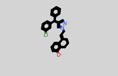 [O]c1cccc2c1CCCC2=CCn1cc(C(c2ccccc2)c2cccc(Cl)c2)cn1